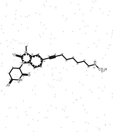 Cn1c(=O)n(C2CCC(=O)NC2=O)c2ccc(C#CCCCCCCNC(=O)O)cc21